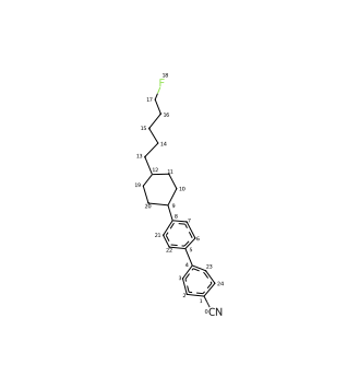 N#Cc1ccc(-c2ccc(C3CCC(CCCCCF)CC3)cc2)cc1